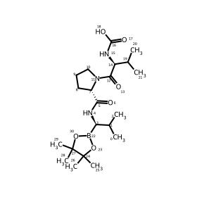 CC(C)[C@H](NC(=O)[C@@H]1CCCN1C(=O)[C@@H](NC(=O)O)C(C)C)B1OC(C)(C)C(C)(C)O1